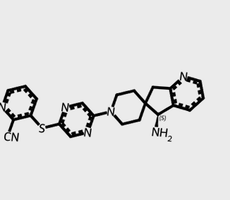 N#Cc1ncccc1Sc1cnc(N2CCC3(CC2)Cc2ncccc2[C@H]3N)cn1